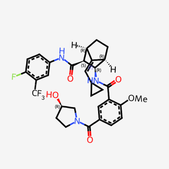 COc1ccc(C(=O)N2CC[C@@H](O)C2)cc1C(=O)N[C@H]1[C@@H](C(=O)Nc2ccc(F)c(C(F)(F)F)c2)[C@H]2CC[C@@H]1/C2=C\C1CC1